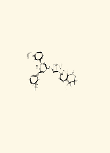 CC1(C)CCc2nc(-c3cn(-c4cc(-c5cccc(F)c5)nc(-c5cccc(F)c5)c4)cn3)ccc2C1=O